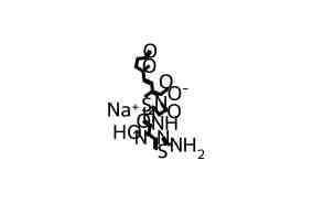 Nc1nc(/C(=N/O)C(=O)N[C@@H]2C(=O)N3C(C(=O)[O-])=C(/C=C/C4CCC(=O)O4)CS[C@@H]23)cs1.[Na+]